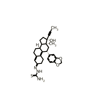 CC#C[C@]1(O)CCC2[C@@H]3CCC4=C/C(=N/NC(N)=S)CCC4=C3[C@@H](c3ccc4c(c3)OCO4)C[C@@]21C